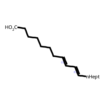 CCCCCCC/C=C/C=C/CCCCCCC(=O)O